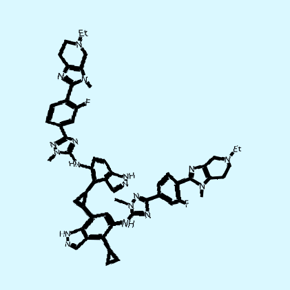 CCN1CCc2c(nc(-c3ccc(-c4nc(Nc5cc(C6CC6c6c(Nc7nc(-c8ccc(-c9nc%10c(n9C)CN(CC)CC%10)c(F)c8)nn7C)ccc7[nH]ncc67)c6[nH]ncc6c5C5CC5)n(C)n4)cc3F)n2C)C1